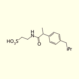 CC(C)Cc1ccc(C(C)C(=O)NCCS(=O)(=O)O)cc1